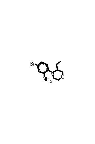 CCC1COCCN1c1ccc(Br)cc1N